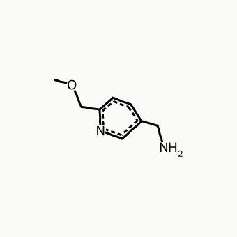 COCc1ccc(CN)cn1